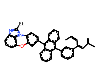 C=C(C)/C=C(\C=C/C)c1cccc(-c2c3ccccc3c(-c3ccc4c(c3)Oc3cccc5nc(CC)n-4c35)c3ccccc23)c1